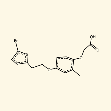 Cc1cc(OCCc2ccc(Br)s2)ccc1OCC(=O)O